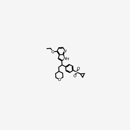 CCOc1ccnc2[nH]c(C(CC3CCOCC3)c3ccc(S(=O)(=O)C4CC4)cc3)cc12